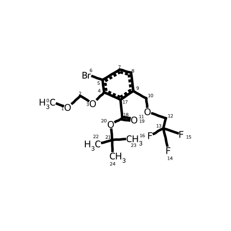 COCOc1c(Br)ccc(COCC(F)(F)F)c1C(=O)OC(C)(C)C